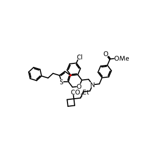 CCOC(=O)C1(CCCN(Cc2ccc(C(=O)OC)cc2)CC(OCc2ccc(CCc3ccccc3)s2)c2cccc(Cl)c2)CCC1